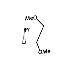 COCCOC.[Li][CH](C)C